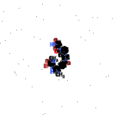 CN1C[C@H](Nc2cnn(C)c(=O)c2Br)C[C@H](c2ccc(C(=O)N3CCN(c4cccc5c4n(C)c(=O)n5C4CCC(=O)NC4=O)CC3)cc2)C1